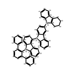 c1ccc(-c2cccc(-c3ccccc3)c2-n2c3ccccc3c3c(-n4c5ccccc5c5cc(-n6c7c(c8ccccc86)CCCC7)ccc54)cccc32)cc1